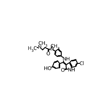 CN(C)CCC(=O)N(C)c1ccc(NC(=C2C(=O)Nc3cc(Cl)ccc32)c2ccc(O)cc2)cc1